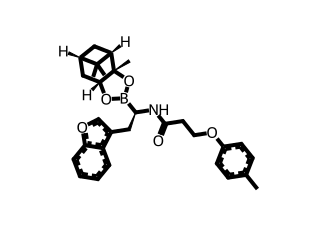 Cc1ccc(OCCC(=O)N[C@@H](Cc2coc3ccccc23)B2O[C@@H]3C[C@@H]4C[C@@H](C4(C)C)[C@]3(C)O2)cc1